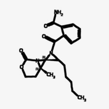 CCCCCC1N(C(=O)c2ccccc2C(N)=O)[C@]12N1C(=O)OCC[C@]12C